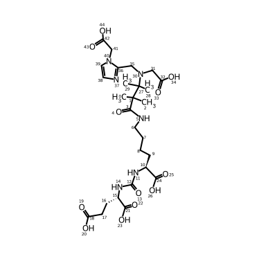 CC(C)(C(=O)NCCCC[C@H](NC(=O)N[C@@H](CCC(=O)O)C(=O)O)C(=O)O)C(C)(C)N(CC(=O)O)Cc1nccn1CC(=O)O